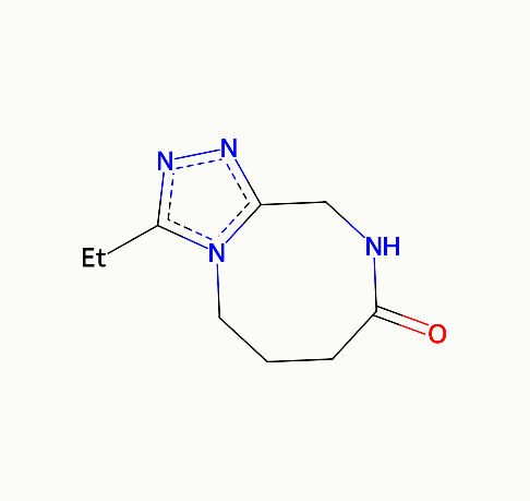 CCc1nnc2n1CCCC(=O)NC2